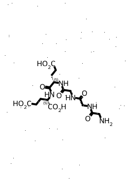 NCC(=O)NCC(=O)NCC(=O)N[C@@H](CCC(=O)O)C(=O)N[C@@H](CCC(=O)O)C(=O)O